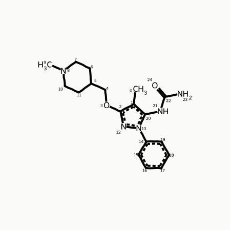 Cc1c(OCC2CCN(C)CC2)nn(-c2ccccc2)c1NC(N)=O